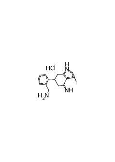 Cc1c[nH]c2c1C(=N)CC(c1ccccc1CN)C2.Cl